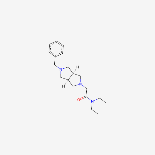 CCN(CC)C(=O)CN1C[C@@H]2CN(Cc3ccccc3)C[C@@H]2C1